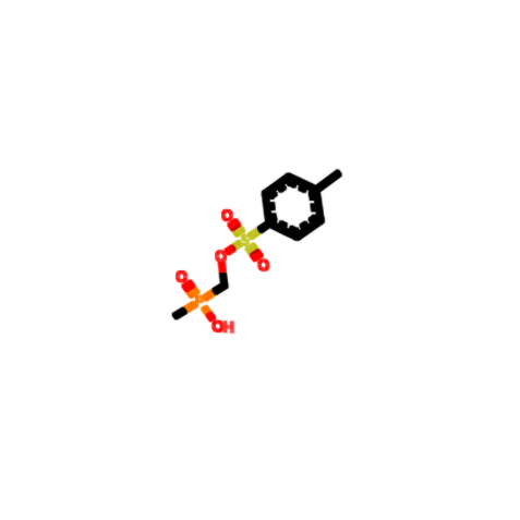 Cc1ccc(S(=O)(=O)OCP(C)(=O)O)cc1